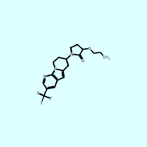 CCCOC1CCN(C2CCn3c(cc4cc(C(F)(F)F)cnc43)C2)C1=O